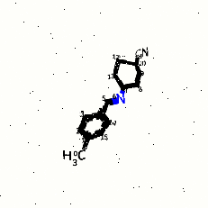 Cc1ccc(C=NC2CCC(C#N)CC2)cc1